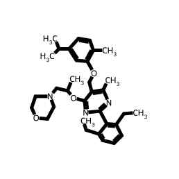 CCc1cccc(CC)c1-c1nc(C)c(COc2cc(C(C)C)ccc2C)c(OC(C)CN2CCOCC2)n1